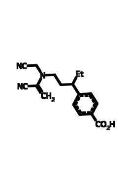 C=C(C#N)N(CC#N)CCC(CC)c1ccc(C(=O)O)cc1